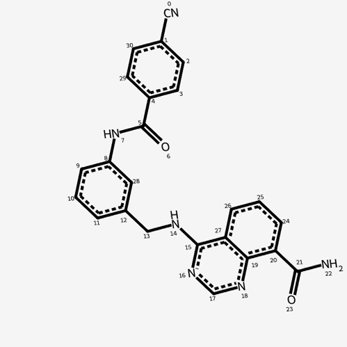 N#Cc1ccc(C(=O)Nc2cccc(CNc3ncnc4c(C(N)=O)cccc34)c2)cc1